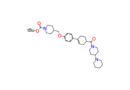 CC(C)(C)OC(=O)N1CCC(COc2ccc(C3=CCC(C(=O)N4CCC(N5CCCCC5)CC4)CC3)cc2)CC1